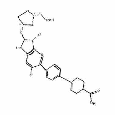 O=C(O)C1CC=C(c2ccc(-c3nc4c(Cl)c(O[C@@H]5CO[C@H](CO)C5)[nH]c4cc3Cl)cc2)CC1